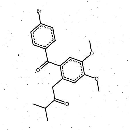 COc1cc(CC(=O)C(C)C)c(C(=O)c2ccc(Br)cc2)cc1OC